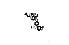 O[C@]1(c2ccc(F)c(F)c2)CC[C@H](Oc2ccn3c(CC4CC4)nnc3c2C(F)(F)F)CC1